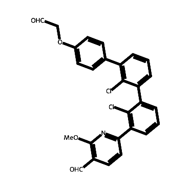 COc1nc(-c2cccc(-c3cccc(-c4ccc(OCC=O)cc4)c3Cl)c2Cl)ccc1C=O